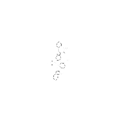 CNC(=O)c1c(-c2ccc(F)cc2)oc2cc(N(C)S(C)(=O)=O)c(-c3nc4c(cc3OC)OCn3c-4cc4ccccc43)cc12